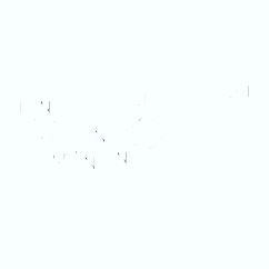 NC(=O)CC1C(=O)NC2=Nc3ccc(OCCCO)c(Cl)c3CN21